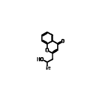 CCC(O)Cc1cc(=O)c2ccccc2o1